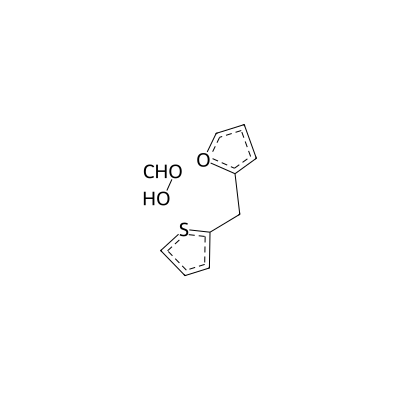 O=CO.c1coc(Cc2cccs2)c1